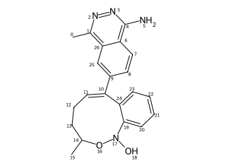 Cc1nnc(N)c2ccc(C3=CCCC(C)ON(O)c4ccccc43)cc12